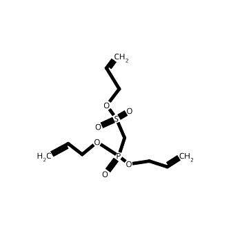 C=CCOP(=O)(CS(=O)(=O)OCC=C)OCC=C